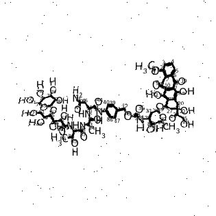 COc1cccc2c1C(=O)c1c(O)c3c(c(O)c1C2=O)C[C@](O)(C(=O)CO)CC3O[C@H]1C[C@H](NC(=O)OCc2ccc(NC(=O)C(CC(N)=O)NC(=O)C(C)NC(=O)C(NC(=O)[C@H](O)[C@H](O)[C@@H](O[C@@H]3O[C@H](CO)[C@H](O)[C@H](O)[C@H]3O)[C@H](O)CO)C(C)O)cc2)[C@H](O)[C@H](C)O1